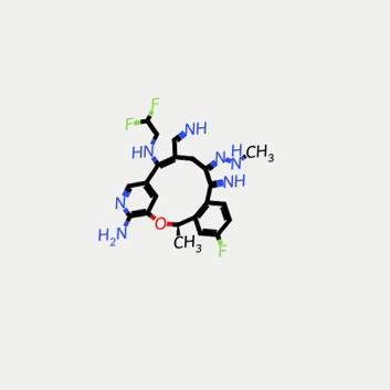 CN/N=C1/C/C(C=N)=C(/NCC(F)F)c2cnc(N)c(c2)O[C@H](C)c2cc(F)ccc2C1=N